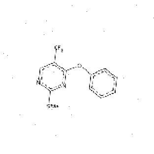 CSc1ncc(C(F)(F)F)c(Oc2ccccc2)n1